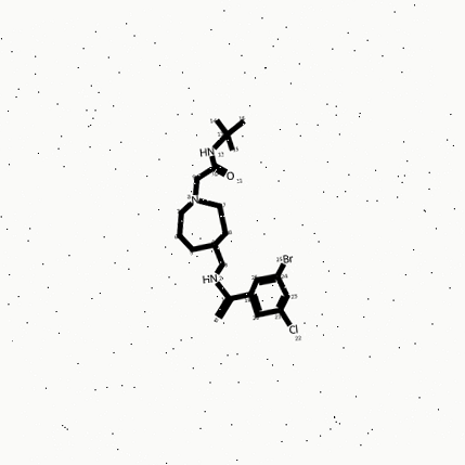 C=C(NCC1CCCN(CC(=O)NC(C)(C)C)CC1)c1cc(Cl)cc(Br)c1